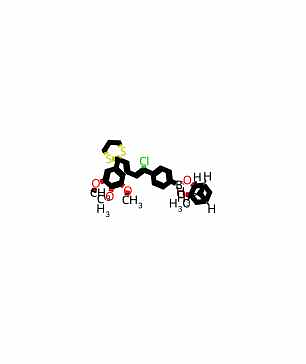 COc1cc(C2(/C=C/C=C(\Cl)c3ccc(B4O[C@@H]5[C@H]6C[C@@H](C[C@@]5(C)O4)C6(C)C)cc3)SCCCS2)cc(OC)c1OC